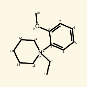 CC[N+]1(c2ccccc2OC)CCCCC1